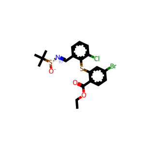 CCOC(=O)c1ccc(Br)cc1Sc1c(Cl)cccc1/C=N/[S+]([O-])C(C)(C)C